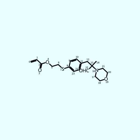 C=CC(=O)OCCSc1ccc(CC(C)(C=O)N2CCOCC2)cc1